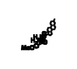 COc1ccc(CN(N)C(=O)N(N)CC(=O)C2CCC3C4CCC5CC(C)CCC5C4CCC23C)cc1